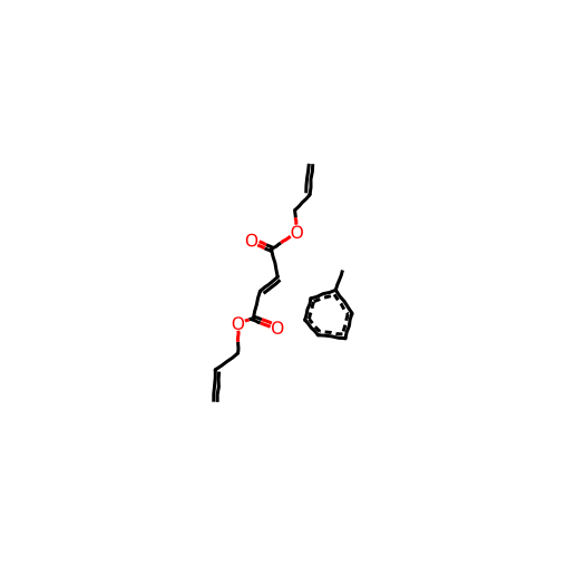 C=CCOC(=O)C=CC(=O)OCC=C.Cc1ccccc1